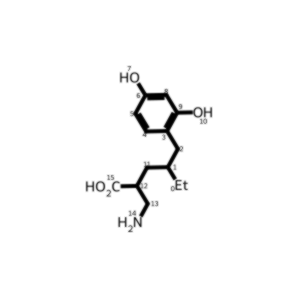 CCC(Cc1ccc(O)cc1O)CC(CN)C(=O)O